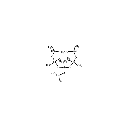 C[SiH](C)O[Si](C)(C)O[Si](C)(O[SiH](C)C)O[Si](C)(C)O[SiH](C)C